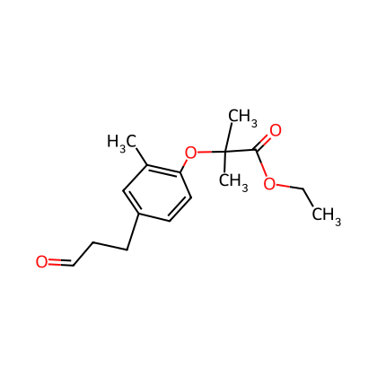 CCOC(=O)C(C)(C)Oc1ccc(CCC=O)cc1C